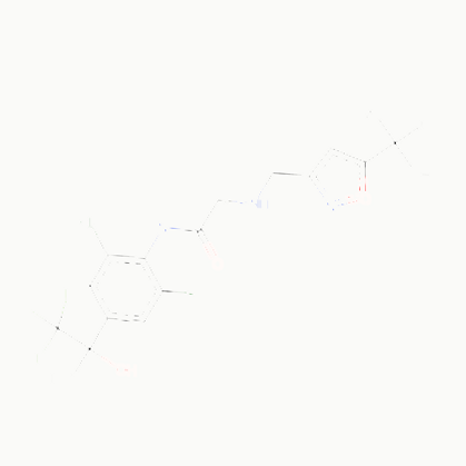 CC(C)(C)c1cc(CNCC(=O)Nc2c(Cl)cc(C(C)(O)C(F)(F)F)cc2Cl)no1